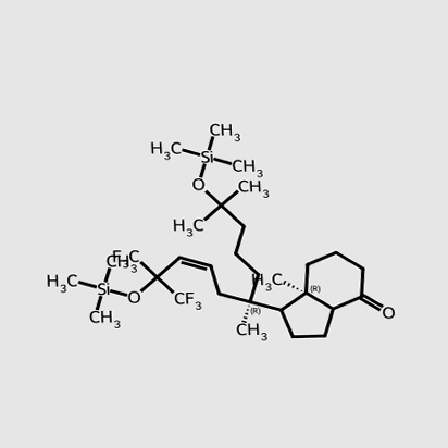 CC(C)(CCC[C@](C)(CC=CC(O[Si](C)(C)C)(C(F)(F)F)C(F)(F)F)C1CCC2C(=O)CCC[C@@]21C)O[Si](C)(C)C